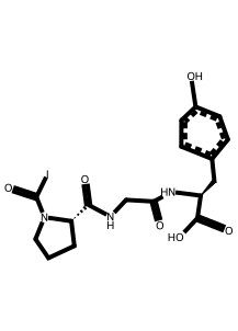 O=C(CNC(=O)[C@@H]1CCCN1C(=O)I)N[C@@H](Cc1ccc(O)cc1)C(=O)O